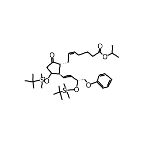 CC(C)OC(=O)CCC/C=C\C[C@H]1C(=O)CC(O[Si](C)(C)C(C)(C)C)[C@@H]1/C=C/[C@H](COc1ccccc1)O[Si](C)(C)C(C)(C)C